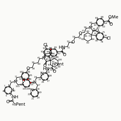 CCCCCC(=O)Nc1cccc(CN(Cc2cc(CN(Cc3ccccn3)Cc3cccc(NC(=O)CCCCC)n3)cc(OCCCCN(Cc3ccc(C(=O)NCCOCCOCCN(Cc4ccc(C(=O)OC)cc4)C(=O)C4(c5ccc(Cl)cc5)CCCCC4)cc3)C(=O)C3(c4ccc(Cl)cc4)CCCCC3)c2)Cc2ccccn2)n1